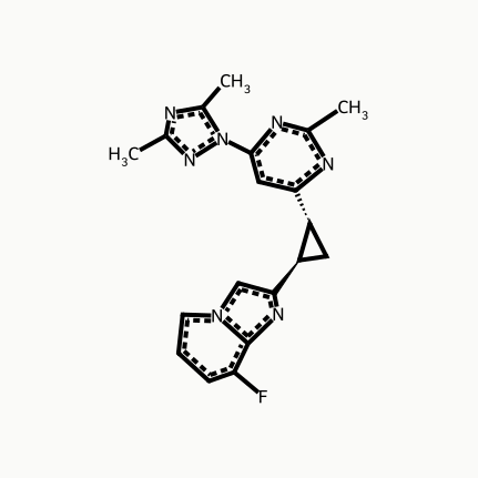 Cc1nc([C@@H]2C[C@H]2c2cn3cccc(F)c3n2)cc(-n2nc(C)nc2C)n1